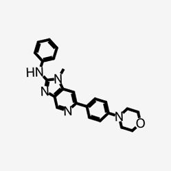 Cn1c(Nc2ccccc2)nc2cnc(-c3ccc(N4CCOCC4)cc3)cc21